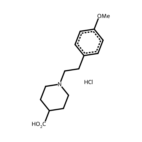 COc1ccc(CCN2CCC(C(=O)O)CC2)cc1.Cl